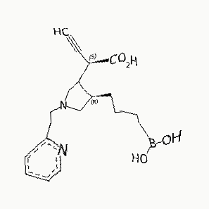 C#C[C@@H](C(=O)O)C1CN(Cc2ccccn2)C[C@@H]1CCCB(O)O